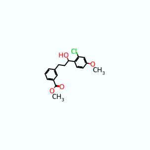 COC(=O)c1cccc(CCC(O)c2ccc(OC)cc2Cl)c1